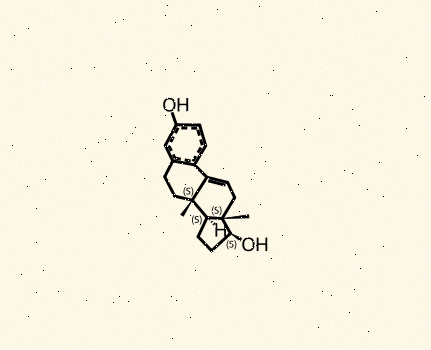 C[C@]12CC=C3c4ccc(O)cc4CC[C@@]3(C)[C@@H]1CC[C@@H]2O